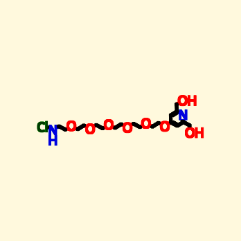 OCc1cc(OCCOCCOCCOCCOCCOCCNCl)cc(CO)n1